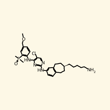 COCc1ccc(Nc2nc(Nc3ccc4c(c3)CC[C@@H](CCCCCN)CC4)ncc2Cl)c(P(C)(C)=O)c1